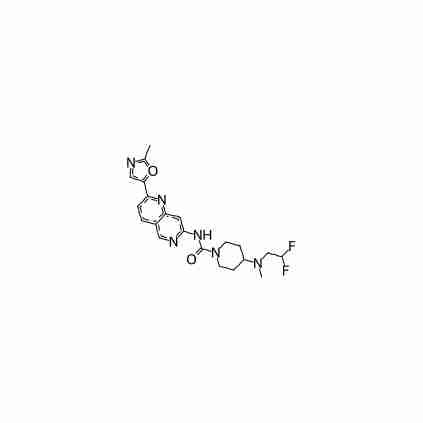 Cc1ncc(-c2ccc3cnc(NC(=O)N4CCC(N(C)CC(F)F)CC4)cc3n2)o1